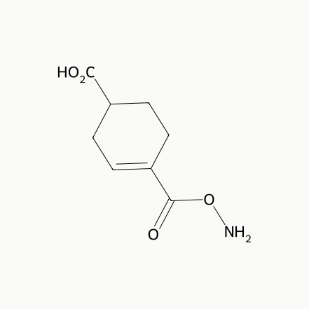 NOC(=O)C1=CCC(C(=O)O)CC1